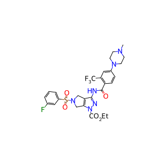 CCOC(=O)n1nc(NC(=O)c2ccc(N3CCN(C)CC3)cc2C(F)(F)F)c2c1CN(S(=O)(=O)c1cccc(F)c1)C2